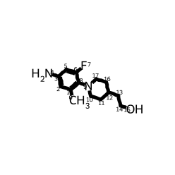 Cc1cc(N)cc(F)c1N1CCC(CCO)CC1